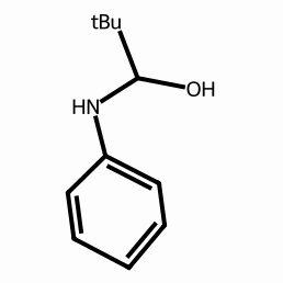 CC(C)(C)C(O)Nc1ccccc1